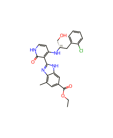 CCOC(=O)c1cc(C)c2nc(-c3c(N[C@H](CO)Cc4ccccc4Cl)cc[nH]c3=O)[nH]c2c1